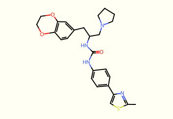 Cc1nc(-c2ccc(NC(=O)NC(Cc3ccc4c(c3)OCCO4)CN3CCCC3)cc2)cs1